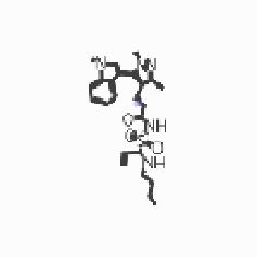 C=CC(NCCCC)S(=O)(=O)NC(=O)/C=C/c1c(C)nn(C)c1-c1cn(C)c2ccccc12